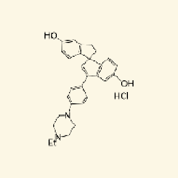 CCN1CCN(c2ccc(C3=CC4(CCc5cc(O)ccc54)c4ccc(O)cc43)cc2)CC1.Cl